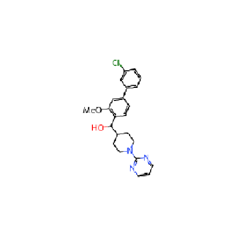 COc1cc(-c2cccc(Cl)c2)ccc1C(O)C1CCN(c2ncccn2)CC1